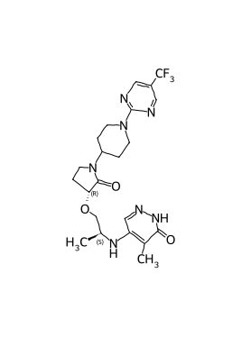 Cc1c(N[C@@H](C)CO[C@@H]2CCN(C3CCN(c4ncc(C(F)(F)F)cn4)CC3)C2=O)cn[nH]c1=O